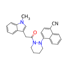 Cn1cc(CC(=O)N2CCCCN2c2ccc(C#N)c3ccccc23)c2ccccc21